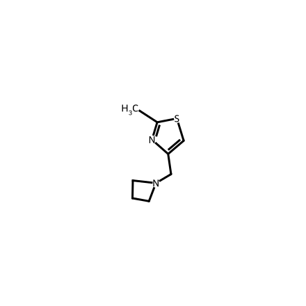 Cc1nc(CN2CCC2)cs1